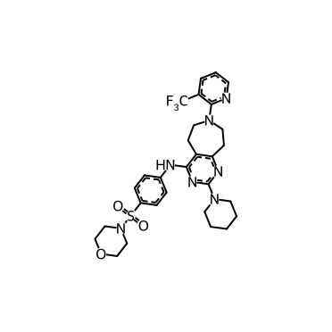 O=S(=O)(c1ccc(Nc2nc(N3CCCCC3)nc3c2CCN(c2ncccc2C(F)(F)F)CC3)cc1)N1CCOCC1